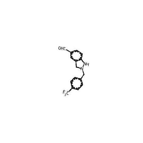 O=Cc1ccc2c(c1)CN(Cc1ccc(C(F)(F)F)cc1)N2